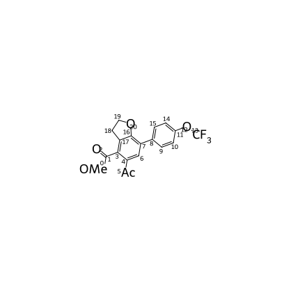 COC(=O)c1c(C(C)=O)cc(-c2ccc(OC(F)(F)F)cc2)c2c1CCO2